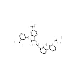 COC(=O)c1cccc(N2C(=O)C(=NNc3cccc(-c4cccc(OC(=O)O)c4)c3O)c3ccc(C(F)(F)F)cc32)c1